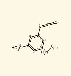 CN.O=C=Nc1cccc(C(=O)O)c1